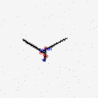 CCCCCC=CCC=CCCCCCCCCNC(=O)c1cc(COC(=O)CCN(C)C)cc(C(=O)NCCCCCCCCC=CCC=CCCCCC)c1